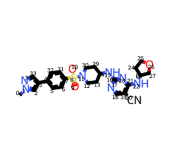 Cn1cc(-c2ccc(S(=O)(=O)N3CCC(Nc4ncc(C#N)c(N[C@H]5CCOC5)n4)CC3)cc2)cn1